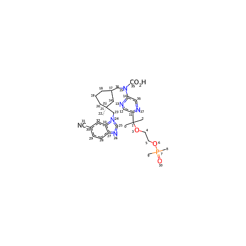 CC(C)(OCCOP(C)(C)=O)c1cnc(N(CC2CCC[C@](C)(Cn3cnc4ccc(C#N)cc43)C2)C(=O)O)cn1